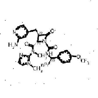 CCC[C@@H](NC(=O)N1C(=O)[C@H](Cc2ccnc(N)c2)[C@H]1C(=O)N(C)c1nccn1C)c1ccc(OC(F)(F)F)cc1